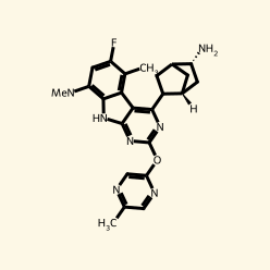 CNc1cc(F)c(C)c2c1[nH]c1nc(Oc3cnc(C)cn3)nc(C3CC4C[C@@H]3C[C@H]4N)c12